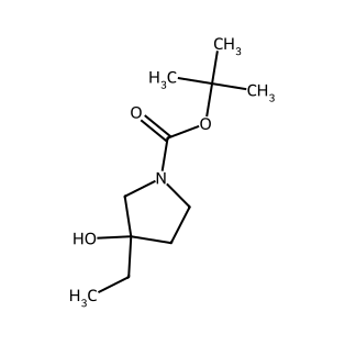 CCC1(O)CCN(C(=O)OC(C)(C)C)C1